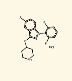 Cl.Fc1ccc2c(c1)c(OC1CCNCC1)nn2-c1c(F)cccc1F